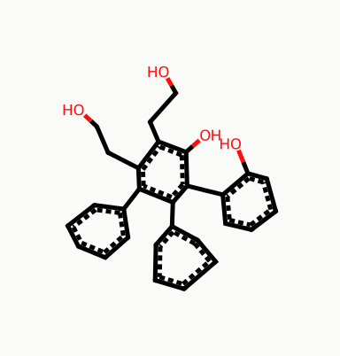 OCCc1c(O)c(-c2ccccc2O)c(-c2ccccc2)c(-c2ccccc2)c1CCO